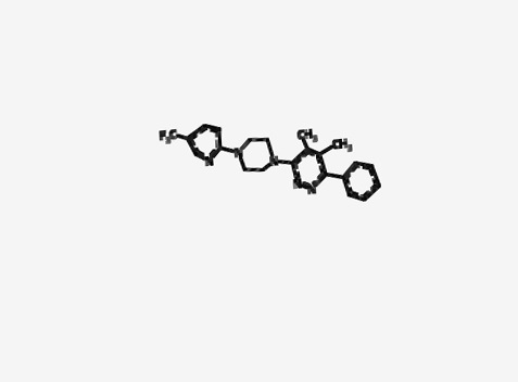 Cc1c(-c2ccccc2)nnc(N2CCN(c3ccc(C(F)(F)F)cn3)CC2)c1C